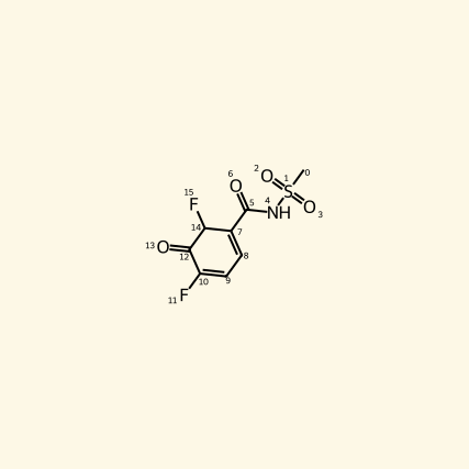 CS(=O)(=O)NC(=O)C1=CC=C(F)C(=O)C1F